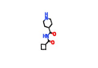 O=C(NC(=O)C1CCNCC1)C1CCC1